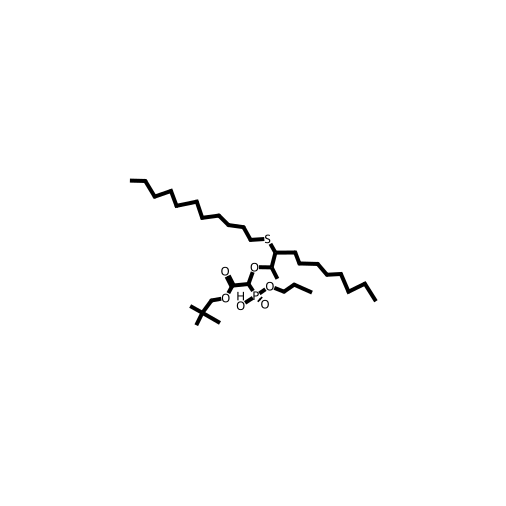 CCCCCCCCCCCSC(CCCCCCCC)C(C)OC(C(=O)OCC(C)(C)C)P(=O)(O)OCCC